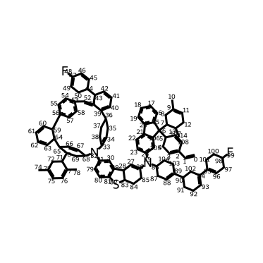 C=CC1=CCC(C2(C3CC(C)=CCC3C)c3ccccc3-c3ccc(N(C4=CC5c6cc(N7C8=CCC(CC8)C8=CC=CC(C9C=CC(F)=CC9)/C8=C/c8ccc(cc8)C8C=CC=CC8C8C=CC7CC8C7CC(C)=CC=C7C)ccc6SC5CC4)C4CC=C(C5CCC=C(C6=CCC(F)CC6)C5)CC4)cc32)C=C1